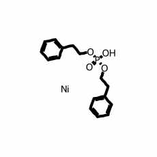 O=P(O)(OCCc1ccccc1)OCCc1ccccc1.[Ni]